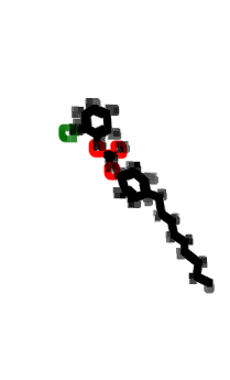 CCCCCCCCCc1ccc(OC(=O)Oc2ccccc2Cl)cc1